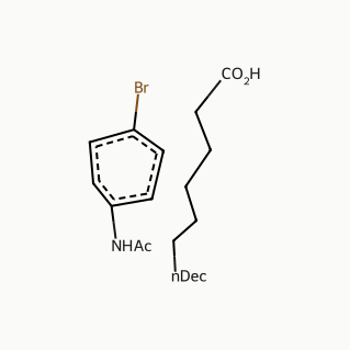 CC(=O)Nc1ccc(Br)cc1.CCCCCCCCCCCCCCCC(=O)O